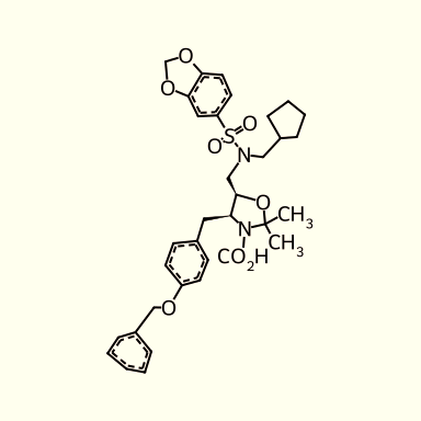 CC1(C)O[C@H](CN(CC2CCCC2)S(=O)(=O)c2ccc3c(c2)OCO3)[C@H](Cc2ccc(OCc3ccccc3)cc2)N1C(=O)O